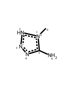 C[n+]1[nH]nnc1N